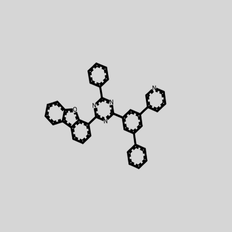 c1ccc(-c2cc(-c3cccnc3)cc(-c3nc(-c4ccccc4)nc(-c4cccc5c4oc4ccccc45)n3)c2)cc1